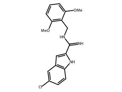 COc1cccc(OC)c1CNC(=N)c1cc2cc(Cl)ccc2[nH]1